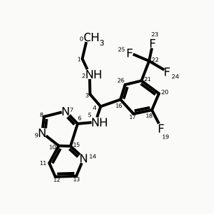 CCNCC(Nc1ncnc2cccnc12)c1cc(F)cc(C(F)(F)F)c1